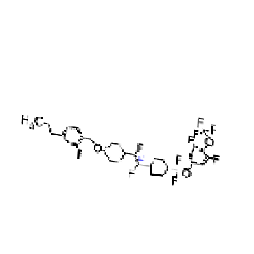 CCCc1ccc(COC2CCC(/C(F)=C(\F)C3CCC(C(F)(F)Oc4cc(F)c(OC(F)(F)F)c(F)c4)CC3)CC2)c(F)c1